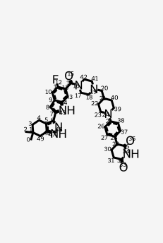 CC1(C)CCc2c(-c3cc4cc(F)c(C(=O)N5CCN(CC6CCN(c7ccc(C8CCC(=O)NC8=O)cc7)CC6)CC5)cc4[nH]3)n[nH]c2C1